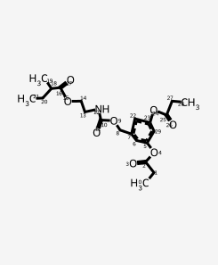 CCC(=O)Oc1cc(COC(=O)NCCOC(=O)C(C)CC)cc(OC(=O)CC)c1